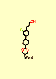 CCCCCC1COC(C2CCC(c3ccc(CCCO)c(F)c3)CC2)OC1